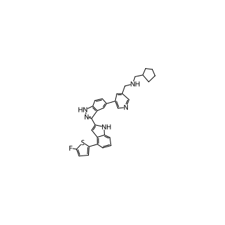 Fc1ccc(-c2cccc3[nH]c(-c4n[nH]c5ccc(-c6cncc(CNCC7CCCC7)c6)cc45)cc23)s1